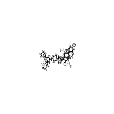 CC1C[C@H]2[C@@H]3CCC4=CC(=O)C=C[C@]4(C)C3=CC[C@]2(C)[C@H]1C(=O)CN1CCN(c2cc(N3CCCC3)nc(N3CCCC3)n2)CC1